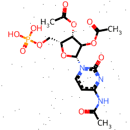 CC(=O)Nc1ccn([C@@H]2O[C@H](COP(=O)(O)O)[C@H](OC(C)=O)C2OC(C)=O)c(=O)n1